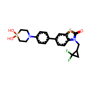 O=c1sc2cc(-c3ccc(N4CCS(O)(O)CC4)cc3)ccc2n1CC1CC1(F)F